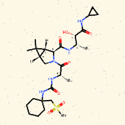 CCCC[C@H](NC(=O)[C@@H]1[C@@H]2[C@H](CN1C(=O)[C@@H](NC(=O)NC1(CS(=O)(=O)C(C)(C)C)CCCCC1)C(C)(C)C)C2(C)C)[C@H](O)C(=O)NC1CC1